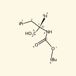 [2H][C@@](CC(C)C)(NC(=O)OC(C)(C)C)C(=O)O